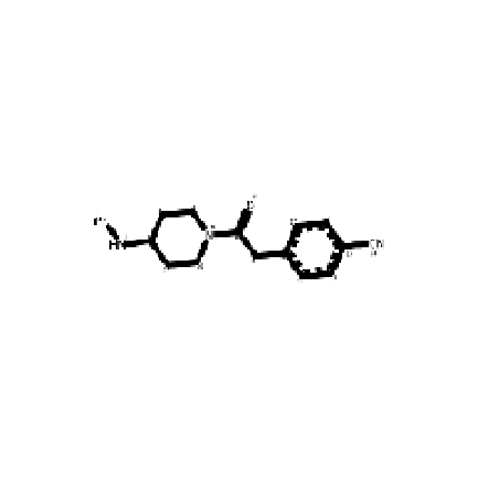 CC(C)NC1CCN(C(=O)Cc2ccc(C#N)cc2)CC1